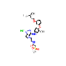 Cc1cc(Nc2ncnc3ccn(CCNC(=O)CS(C)(=O)=O)c23)ccc1Oc1cccc(OCCC(C)C)c1.Cl